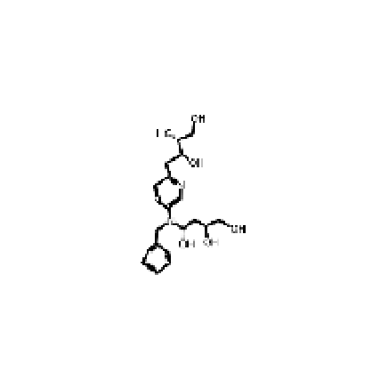 OC[C@@H](O)C[C@H](O)N(Cc1ccccc1)c1cnc(C[C@H](O)[C@H](O)CO)cn1